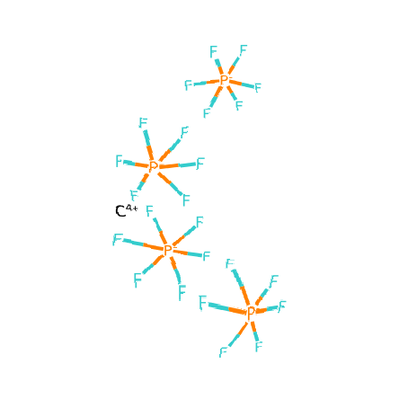 F[P-](F)(F)(F)(F)F.F[P-](F)(F)(F)(F)F.F[P-](F)(F)(F)(F)F.F[P-](F)(F)(F)(F)F.[C+4]